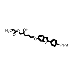 C=CC(=O)OCC(O)CCCCOc1ccc2cc(-c3ccc(CCCCC)cc3)sc2c1